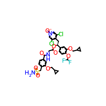 NS(=O)(=O)Cc1ccc(C(=O)NCC(=O)O[C@@H](Cc2c(Cl)c[n+]([O-])cc2Cl)c2ccc(OC(F)F)c(OCC3CC3)c2)cc1OCC1CC1